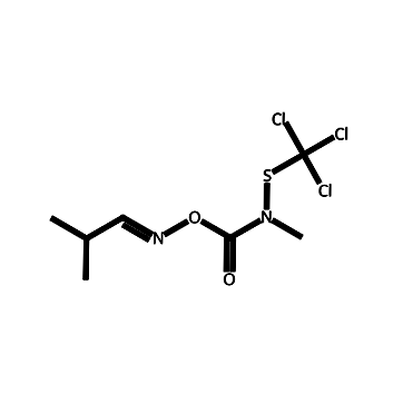 CC(C)C=NOC(=O)N(C)SC(Cl)(Cl)Cl